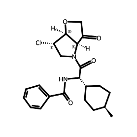 C[C@H]1CC[C@H](C(NC(=O)c2ccccc2)C(=O)N2C[C@H](Cl)[C@H]3OCC(=O)[C@H]32)CC1